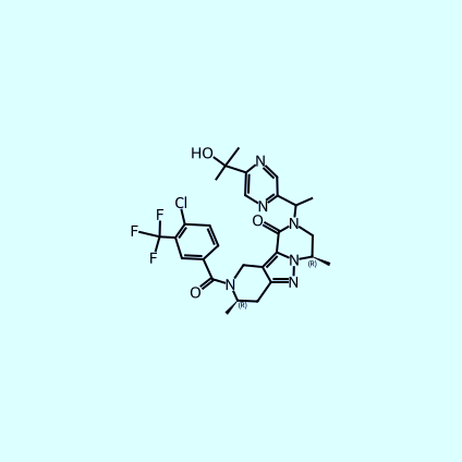 CC(c1cnc(C(C)(C)O)cn1)N1C[C@@H](C)n2nc3c(c2C1=O)CN(C(=O)c1ccc(Cl)c(C(F)(F)F)c1)[C@H](C)C3